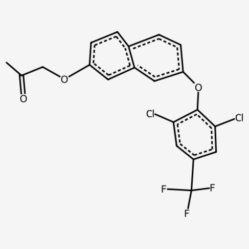 CC(=O)COc1ccc2ccc(Oc3c(Cl)cc(C(F)(F)F)cc3Cl)cc2c1